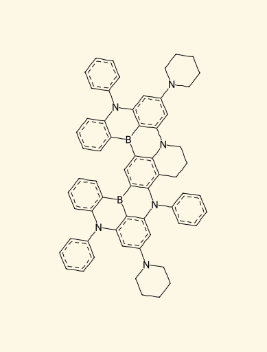 c1ccc(N2c3ccccc3B3c4cc5c(c6c4N(CCC6)c4cc(N6CCCCC6)cc2c43)N(c2ccccc2)c2cc(N3CCCCC3)cc3c2B5c2ccccc2N3c2ccccc2)cc1